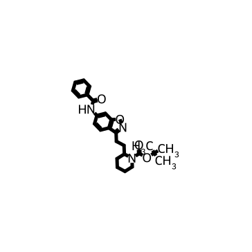 CC(C)(C)OC(=O)N1CCCCC1CCc1noc2cc(NC(=O)c3ccccc3)ccc12